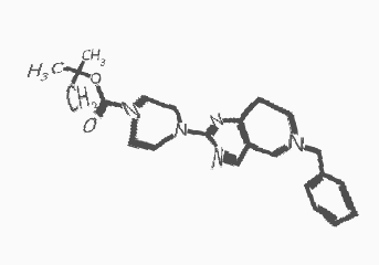 CC(C)(C)OC(=O)N1CCN(c2ncc3c(n2)CCN(Cc2ccccc2)C3)CC1